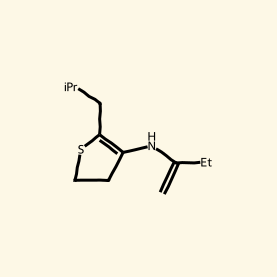 C=C(CC)NC1=C(CC(C)C)SCC1